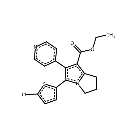 CCOC(=O)c1c(-c2ccncc2)c(-c2ccc(Cl)s2)n2c1CCC2